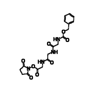 O=C(CNC(=O)CNC(=O)OCc1ccccc1)NCC(=O)ON1C(=O)CCC1=O